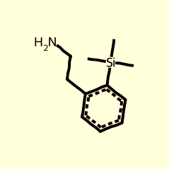 C[Si](C)(C)c1ccccc1CCN